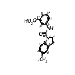 Cc1ccc2c(c1)CCN2C(=O)Nc1cccc(C(=O)O)c1